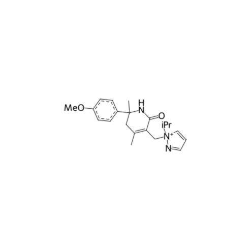 COc1ccc(C2(C)CC(C)=C(C[N+]3(C(C)C)C=CC=N3)C(=O)N2)cc1